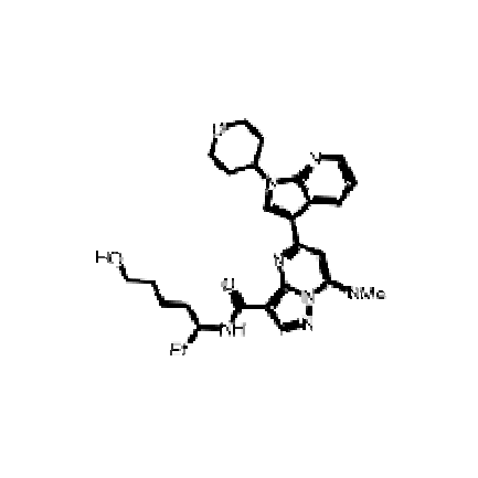 CCC(CCCCO)NC(=O)c1cnn2c(NC)cc(-c3cn(C4CCOCC4)c4ncccc34)nc12